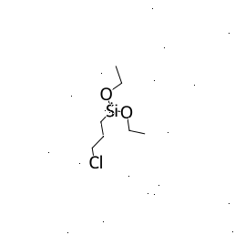 CCO[Si](CCCCl)OCC